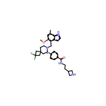 COc1cc(C)c2[nH]ccc2c1CN1CCC2(C[C@@H]1c1ccc(C(=O)NCCC3CNC3)cc1)CC(F)(F)C2